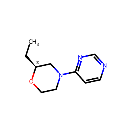 CC[C@H]1CN(c2ccncn2)CCO1